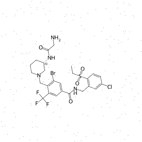 CCS(=O)(=O)c1ccc(Cl)cc1CNC(=O)c1cc(Br)c(CN2CCC[C@H](NC(=O)CN)C2)c(C(F)(F)F)c1